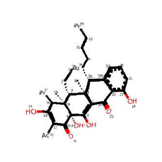 CCC(C)C[C@@H]1[C@]2(C)C(=C(O)[C@@]3(O)C(=O)C(C(C)=O)=C(O)C(C(C)C)[C@@]13C)C(=O)c1c(O)cccc1[C@H]2CCCCC(C)C